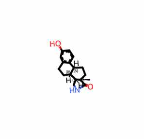 C[C@]12CC[C@@H]3c4ccc(O)cc4CC[C@H]3[C@@H]1CNC2=O